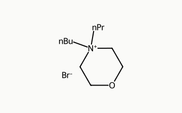 CCCC[N+]1(CCC)CCOCC1.[Br-]